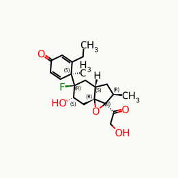 CCC1=CC(=O)C=C[C@]1(C)[C@]1(F)C[C@@H]2C[C@@H](C)[C@@]3(C(=O)CO)O[C@]23C[C@@H]1O